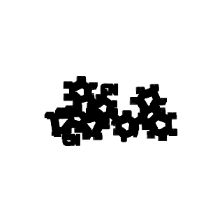 N#Cc1cc(-c2cccc(-n3c4ccccc4c4ccccc43)c2)ccc1-c1ccccc1-n1c2ccccc2c2c(C#N)cccc21